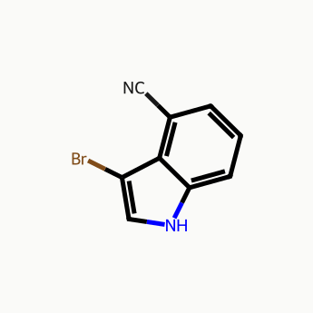 N#Cc1cccc2[nH]cc(Br)c12